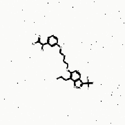 CCCc1c(OCCCCOc2cccc(C(Cl)C(=O)O)c2)ccc2c(C(F)(F)F)noc12